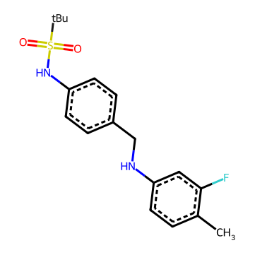 Cc1ccc(NCc2ccc(NS(=O)(=O)C(C)(C)C)cc2)cc1F